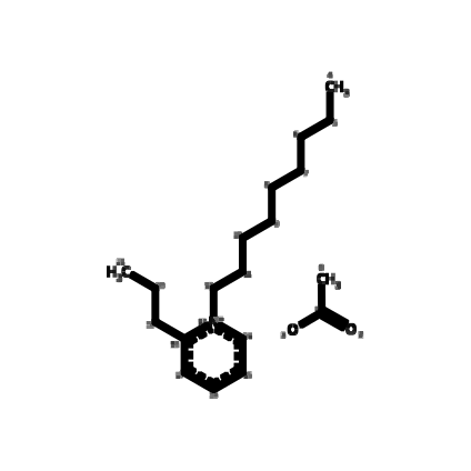 CC(=O)[O-].CCCCCCCCC[n+]1ccccc1CCC